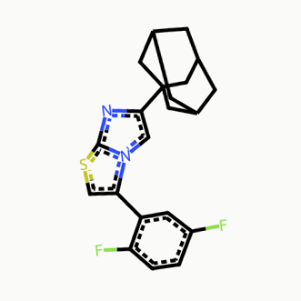 Fc1ccc(F)c(-c2csc3nc(C45CC6CC(CC(C6)C4)C5)cn23)c1